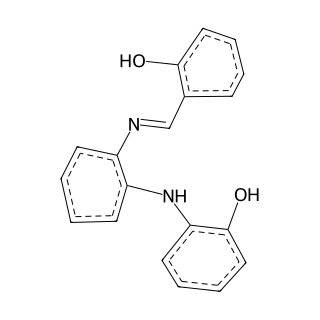 Oc1ccccc1C=Nc1ccccc1Nc1ccccc1O